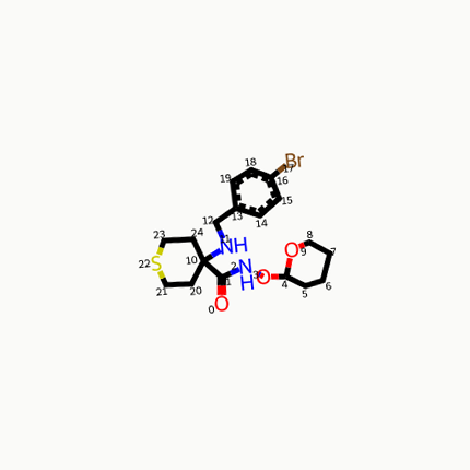 O=C(NOC1CCCCO1)C1(NCc2ccc(Br)cc2)CCSCC1